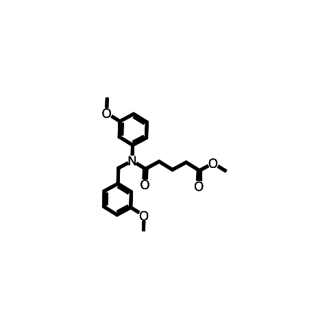 COC(=O)CCCC(=O)N(Cc1cccc(OC)c1)c1cccc(OC)c1